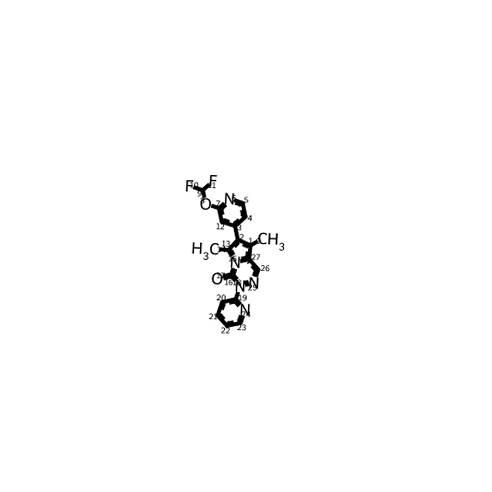 Cc1c(-c2ccnc(OC(F)F)c2)c(C)n2c(=O)n(-c3ccccn3)ncc12